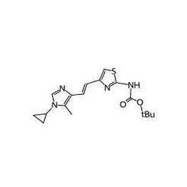 Cc1c(/C=C/c2csc(NC(=O)OC(C)(C)C)n2)ncn1C1CC1